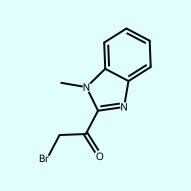 Cn1c(C(=O)CBr)nc2ccccc21